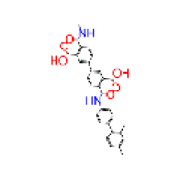 CNC(=O)c1ccc(-c2ccc(C(=O)Nc3ccc(-c4ccc(C)cc4C)cc3)c(C(=O)O)c2)cc1C(=O)O